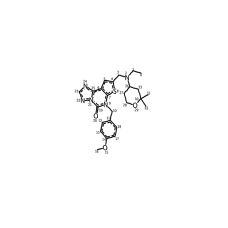 CCN(Cc1cc2c(s1)n(Cc1ccc(OC)cc1)c(=O)n1ncnc21)C1CCOC(C)(C)C1